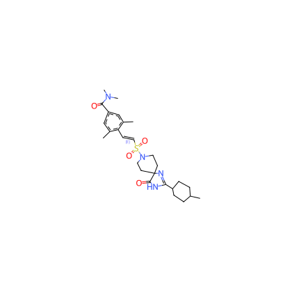 Cc1cc(C(=O)N(C)C)cc(C)c1/C=C/S(=O)(=O)N1CCC2(CC1)N=C(C1CCC(C)CC1)NC2=O